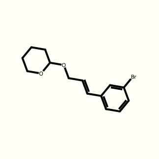 Brc1cccc(C=CCOC2CCCCO2)c1